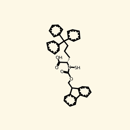 O=C(O)[C@H](CCCC(c1ccccc1)(c1ccccc1)c1ccccc1)N(S)C(=O)OCC1c2ccccc2-c2ccccc21